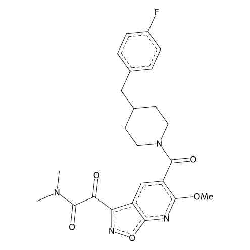 COc1nc2onc(C(=O)C(=O)N(C)C)c2cc1C(=O)N1CCC(Cc2ccc(F)cc2)CC1